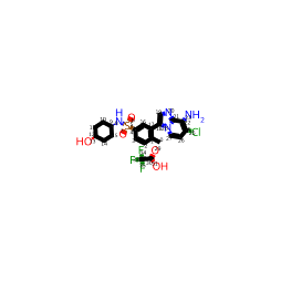 Cc1ccc(S(=O)(=O)N[C@H]2CC[C@H](O)CC2)cc1-c1cnc2c(N)c(Cl)ccn12.O=C(O)C(F)(F)F